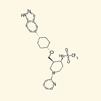 O=S(=O)(N[C@H]1CCN(c2ccccn2)C[C@H]1CO[C@H]1CC[C@@H](c2ccc3[nH]ncc3c2)CC1)C(F)(F)F